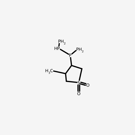 CC1CS(=O)(=O)CC1P(P)PP